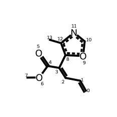 C=C/C=C(/C(=O)OC)c1ocnc1C